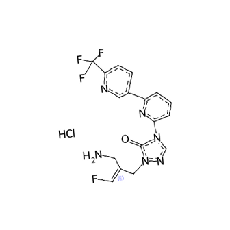 Cl.NC/C(=C\F)Cn1ncn(-c2cccc(-c3ccc(C(F)(F)F)nc3)n2)c1=O